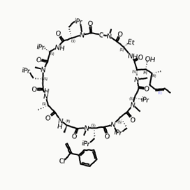 C/C=C/C[C@@H](C)[C@@H](O)[C@H]1C(=O)N[C@@H](CC)C(=O)N(C)CC(=O)N(C)[C@@H](CC(C)C)C(=O)N[C@@H](C(C)C)C(=O)N(C)[C@@H](CC(C)C)C(=O)N[C@@H](C)C(=O)N[C@H](C)C(=O)N(C)[C@@H](CC(C)C)C(=O)N(C)[C@@H](CC(C)C)C(=O)N(C)[C@@H](C(C)C)C(=O)N1C.C=C(Cl)c1ccccc1